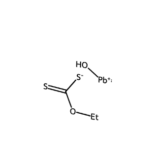 CCOC(=S)[S-].[OH][Pb+]